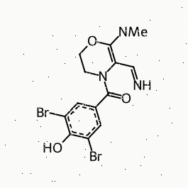 CNC1=C(C=N)N(C(=O)c2cc(Br)c(O)c(Br)c2)CCO1